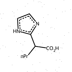 CCCC(C(=O)O)c1ncc[nH]1